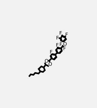 CCCCCC1CCC(C2COC(c3ccc(-c4ccc(C(F)(F)Oc5cc(F)c(F)c(F)c5)c(F)c4)c(F)c3)OC2)CC1